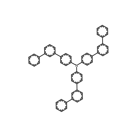 c1ccc(-c2cccc(-c3ccc(N(c4ccc(-c5cccc(-c6ccccc6)c5)cc4)c4ccc(-c5cccc(-c6ccccc6)c5)cc4)cc3)c2)cc1